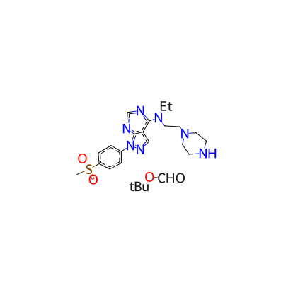 CC(C)(C)OC=O.CCN(CCN1CCNCC1)c1ncnc2c1cnn2-c1ccc(S(C)(=O)=O)cc1